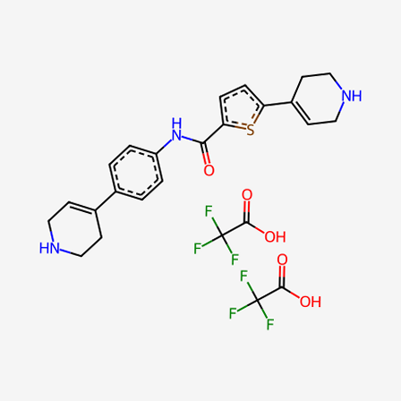 O=C(Nc1ccc(C2=CCNCC2)cc1)c1ccc(C2=CCNCC2)s1.O=C(O)C(F)(F)F.O=C(O)C(F)(F)F